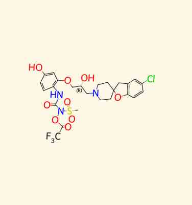 CS(=O)(=O)N(OC(=O)C(F)(F)F)C(=O)Nc1ccc(O)cc1OC[C@H](O)CN1CCC2(CC1)Cc1cc(Cl)ccc1O2